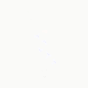 COc1ccc2c(c1)nc(C(F)(F)F)n2-c1cnc(NC(=O)c2ccc(Cl)cc2)cn1